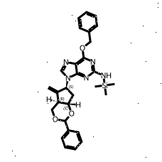 C=C1[C@@H]2COC(c3ccccc3)O[C@H]2C[C@@H]1n1cnc2c(OCc3ccccc3)nc(N[Si](C)(C)C)nc21